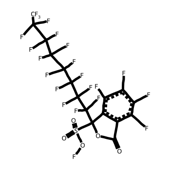 O=C1OC(C(F)(F)C(F)(F)C(F)(F)C(F)(F)C(F)(F)C(F)(F)C(F)(F)C(F)(F)F)(S(=O)(=O)OF)c2c(F)c(F)c(F)c(F)c21